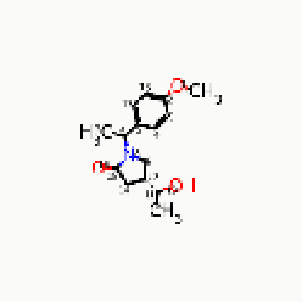 COc1ccc(C(C)N2C[C@H](C(C)O)CC2=O)cc1